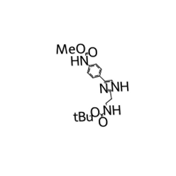 COC(=O)Nc1ccc(-c2c[nH]c(CCNC(=O)OC(C)(C)C)n2)cc1